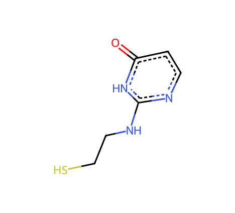 O=c1ccnc(NCCS)[nH]1